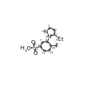 CCc1ccnn1-c1cc(S(C)(=O)=O)ccc1F